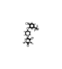 Cn1nc(N2CCC(Oc3cc(C(F)(F)F)ccc3Cl)CC2)c(=O)n(C)c1=O